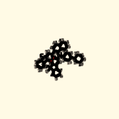 CC1(C)c2ccccc2-c2cc(N(c3ccc(C4CCCCC4)cc3)c3c(-c4ccc5c(c4)sc4ccccc45)ccc4ccccc34)ccc21